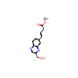 C[C@@H](O)c1cnc2ccc(/C=C/CC(=O)OC(C)(C)C)cc2n1